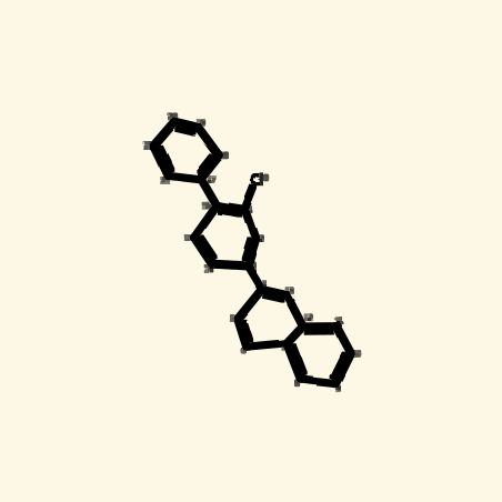 Clc1cc(-c2ccc3ccccc3c2)ccc1-c1ccccc1